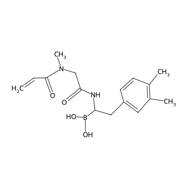 C=CC(=O)N(C)CC(=O)NC(Cc1ccc(C)c(C)c1)B(O)O